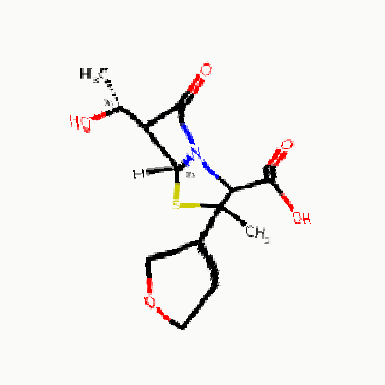 C[C@@H](O)C1C(=O)N2C(C(=O)O)C(C)(C3CCOC3)S[C@H]12